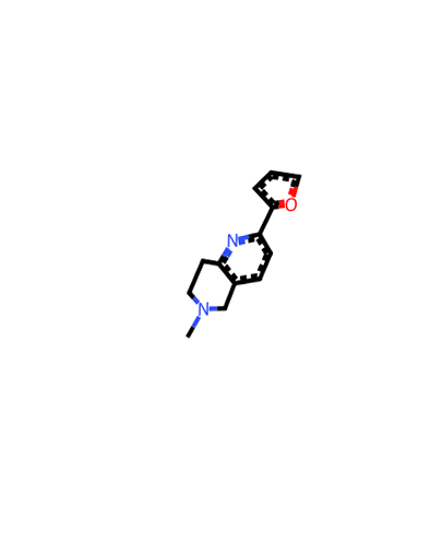 CN1CCc2nc(-c3ccco3)ccc2C1